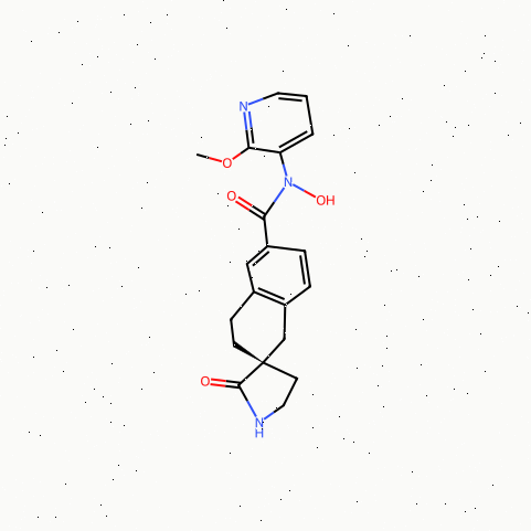 COc1ncccc1N(O)C(=O)c1ccc2c(c1)CC[C@]1(CCNC1=O)C2